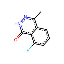 Cc1n[nH]c(=O)c2c(F)cccc12